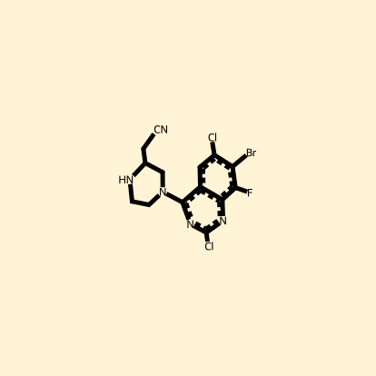 N#CCC1CN(c2nc(Cl)nc3c(F)c(Br)c(Cl)cc23)CCN1